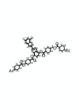 CC(=O)C1CCC(C(=O)OCC2CCC(C(=O)Oc3ccc(OC(=O)C4CCC(OC(=O)C5CCC(C(C)=O)CC5)CC4)c4sc(-c5cc6cc(C)cc(C)c6s5)nc34)CC2)CC1